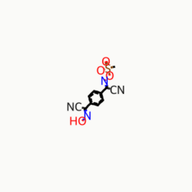 CS(=O)(=O)ON=C(C#N)c1ccc(C(C#N)=NO)cc1